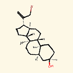 C=C(CBr)[C@H]1CC[C@H]2[C@@H]3CC[C@@H]4C[C@](C)(O)CC[C@]4(C)[C@H]3CC[C@]12C